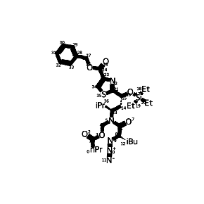 CCCC(=O)OCN(C(=O)C(N=[N+]=[N-])[C@@H](C)CC)[C@H](C[C@@H](O[Si](CC)(CC)CC)c1nc(C(=O)OCc2ccccc2)cs1)C(C)C